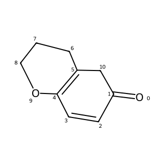 O=C1C=CC2=C(CCCO2)C1